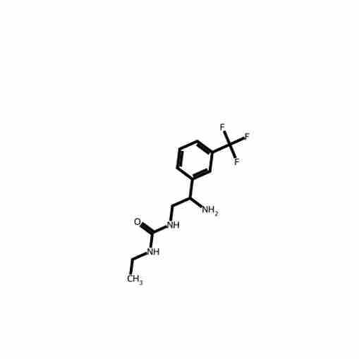 CCNC(=O)NCC(N)c1cccc(C(F)(F)F)c1